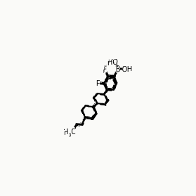 CCCC1CCC(C2CCC(c3ccc(B(O)O)c(F)c3F)CC2)CC1